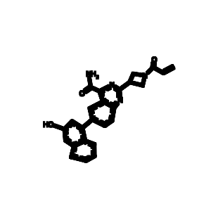 C=CC(=O)N1CC(c2nc(C(N)=O)c3cc(-c4cc(O)cc5ccccc45)ccc3n2)C1